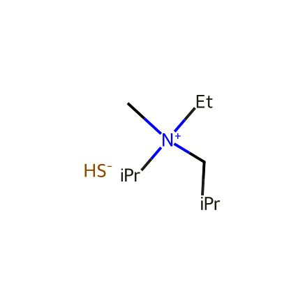 CC[N+](C)(CC(C)C)C(C)C.[SH-]